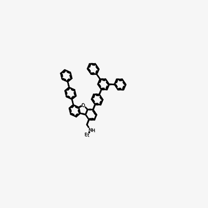 CCNCC1=CC=C(c2ccc(-c3cc(-c4ccccc4)cc(-c4ccccc4)c3)cc2)C2Oc3c(-c4ccc(-c5ccccc5)cc4)cccc3C12